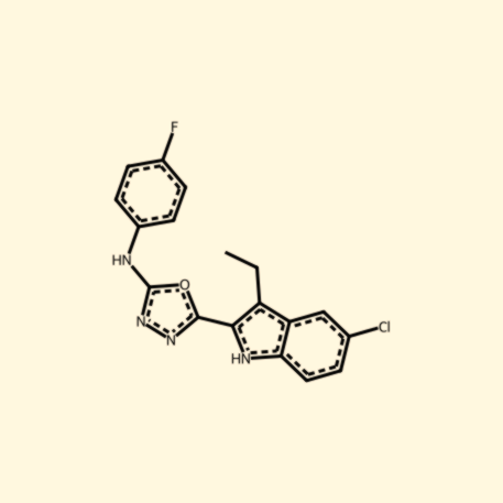 CCc1c(-c2nnc(Nc3ccc(F)cc3)o2)[nH]c2ccc(Cl)cc12